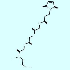 CNCCN(C)C(=O)CNC(=O)CNC(=O)CNC(=O)CCN1C(=O)C=CC1=O